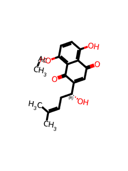 CC(C)=CC[C@@H](O)C1=CC(=O)c2c(O)ccc(O)c2C1=O.CC(C)=O